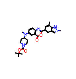 Cc1cc(-c2nc3ccc(N(C)C4CCN(C(=O)OC(C)(C)C)CC4)cc3c(=O)o2)cc2cn(C)nc12